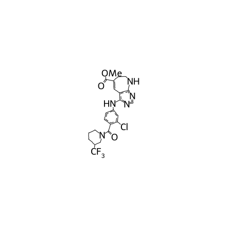 COC(=O)C1=Cc2c(ncnc2Nc2ccc(C(=O)N3CCCC(C(F)(F)F)C3)c(Cl)c2)NCC1